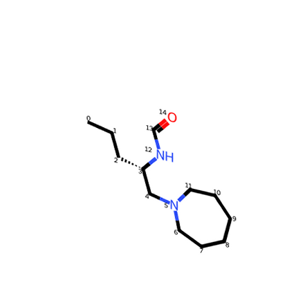 CCC[C@@H](CN1CCCCCC1)NC=O